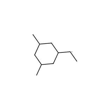 C[CH]C1CC(C)CC(C)C1